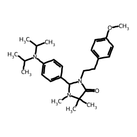 COc1ccc(CCN2C(=O)C(C)(C)N(C)C2c2ccc(N(C(C)C)C(C)C)cc2)cc1